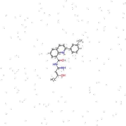 C/C(O)=C/C(=N)NC(=O)c1cccc2ccc(-c3cccc(C(F)(F)F)c3)nc12